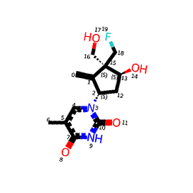 C=C1[C@@H](n2cc(C)c(=O)[nH]c2=O)C[C@H](O)[C@]1(CO)CF